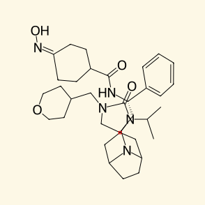 CC(C)N1C(=O)N(CC2CCOCC2)CC12CC1CCC(C2)N1CC[C@H](NC(=O)C1CCC(=NO)CC1)c1ccccc1